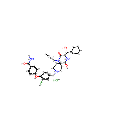 CCCCN1C(=O)[C@@H]([C@H](O)C2CCCCC2)NC(=O)C12CCN(Cc1ccc(Oc3ccc(C(=O)NC)cc3)c(Cl)c1)CC2.Cl